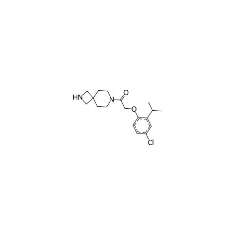 CC(C)c1cc(Cl)ccc1OCC(=O)N1CCC2(CC1)CNC2